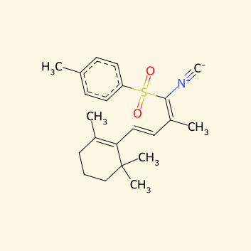 [C-]#[N+]C(=C(C)C=CC1=C(C)CCCC1(C)C)S(=O)(=O)c1ccc(C)cc1